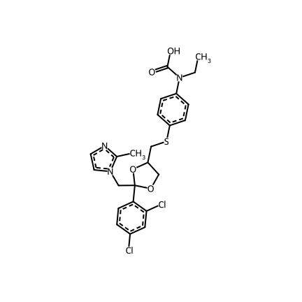 CCN(C(=O)O)c1ccc(SCC2COC(Cn3ccnc3C)(c3ccc(Cl)cc3Cl)O2)cc1